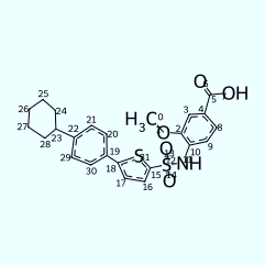 COc1cc(C(=O)O)ccc1NS(=O)(=O)c1ccc(-c2ccc(C3CCCCC3)cc2)s1